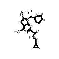 CCOC(=O)Oc1nc2c(N)nc(C(=O)NCC3CC3)nc2n1Cc1ccccc1